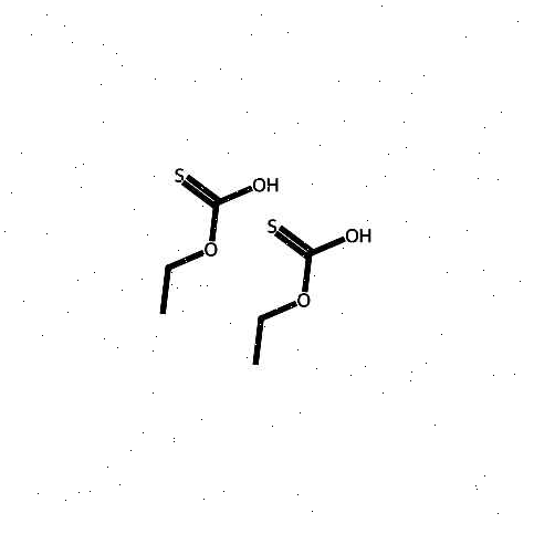 CCOC(O)=S.CCOC(O)=S